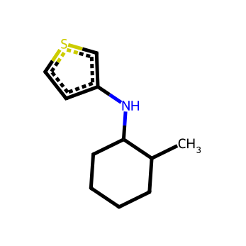 CC1CCCCC1Nc1ccsc1